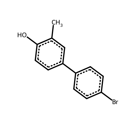 Cc1cc(-c2ccc(Br)cc2)ccc1O